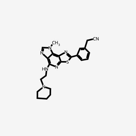 Cn1cnc2c(NCCN3CCCCC3)nc3sc(-c4cccc(CC#N)c4)nc3c21